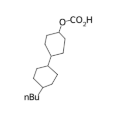 CCCCC1CCC(C2CCC(OC(=O)O)CC2)CC1